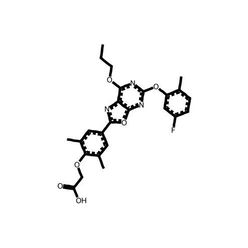 CCCOc1nc(Oc2cc(F)ccc2C)nc2oc(-c3cc(C)c(OCC(=O)O)c(C)c3)nc12